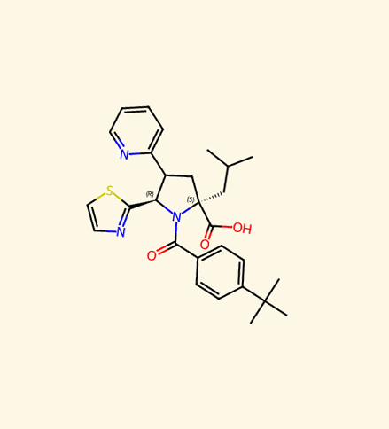 CC(C)C[C@@]1(C(=O)O)CC(c2ccccn2)[C@H](c2nccs2)N1C(=O)c1ccc(C(C)(C)C)cc1